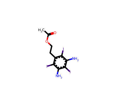 CC(=O)OCCc1c(I)c(N)c(I)c(N)c1I